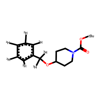 [2H]c1c([2H])c([2H])c(C([2H])([2H])OC2CCN(C(=O)OC(C)(C)C)CC2)c([2H])c1[2H]